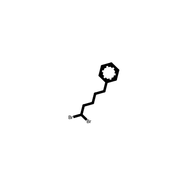 BrC(Br)CCCCc1ccccc1